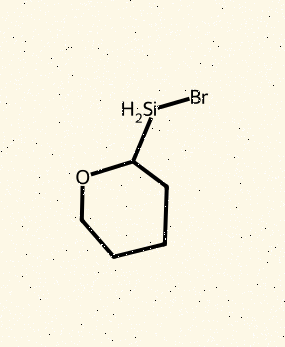 Br[SiH2]C1CCCCO1